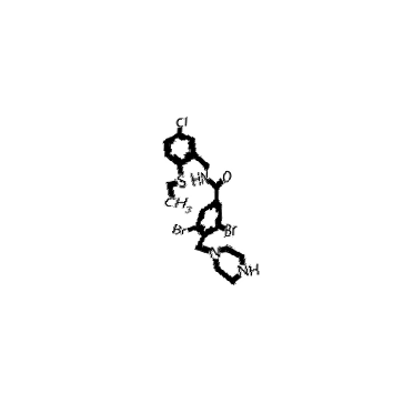 CCSc1ccc(Cl)cc1CNC(=O)c1cc(Br)c(CN2CCNCC2)c(Br)c1